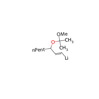 [Li][CH]=CC(CCCCC)OC(C)(C)OC